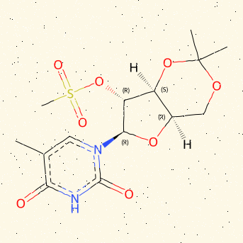 Cc1cn([C@@H]2O[C@@H]3COC(C)(C)O[C@@H]3[C@H]2OS(C)(=O)=O)c(=O)[nH]c1=O